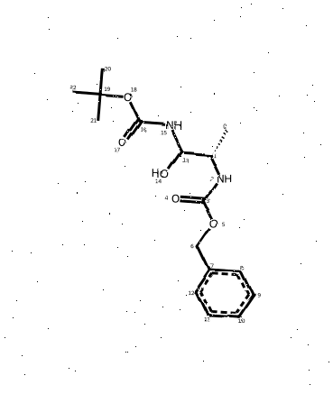 C[C@H](NC(=O)OCc1ccccc1)C(O)NC(=O)OC(C)(C)C